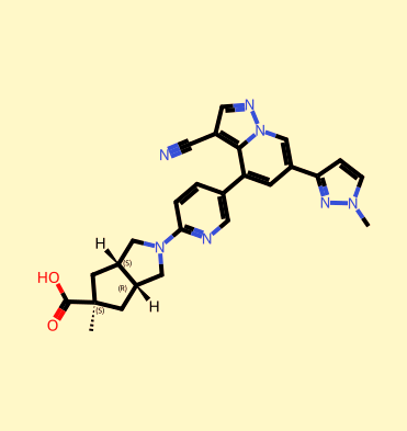 Cn1ccc(-c2cc(-c3ccc(N4C[C@@H]5C[C@@](C)(C(=O)O)C[C@@H]5C4)nc3)c3c(C#N)cnn3c2)n1